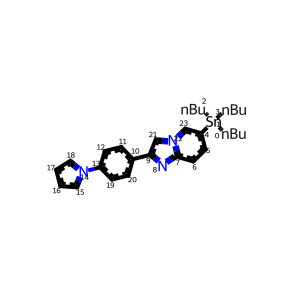 CCC[CH2][Sn]([CH2]CCC)([CH2]CCC)[c]1ccc2nc(-c3ccc(-n4cccc4)cc3)cn2c1